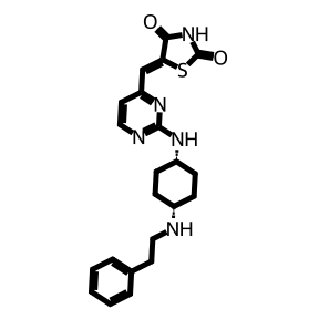 O=C1NC(=O)C(=Cc2ccnc(N[C@H]3CC[C@@H](NCCc4ccccc4)CC3)n2)S1